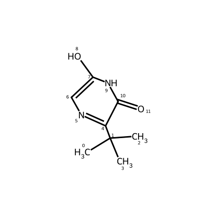 CC(C)(C)c1ncc(O)[nH]c1=O